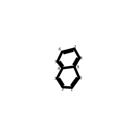 [c]1cc[c]c2[c]cc[c]c12